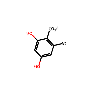 CCc1cc(O)cc(O)c1C(=O)O